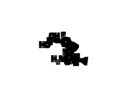 CC(O)(C#Cc1cc2c(cc1F)C1CC(C1)n1c-2nc(C(N)=O)c1-c1nc(C2CC2)n[nH]1)CO